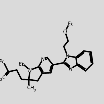 C=C(CCC1(C)Cc2cc(-c3nc4ccccc4n3CCOCC)cnc2N1CC)C(C)C